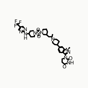 CC(CC1CCCN(S(=O)(=O)N2CCC(Nc3ncc(C(F)(F)F)cn3)CC2)C1)N1CCC(c2ccc3c(N4CCC(=O)NC4=O)nn(C)c3c2)CC1